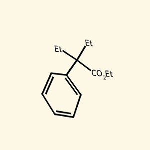 CCOC(=O)C(CC)(CC)c1ccccc1